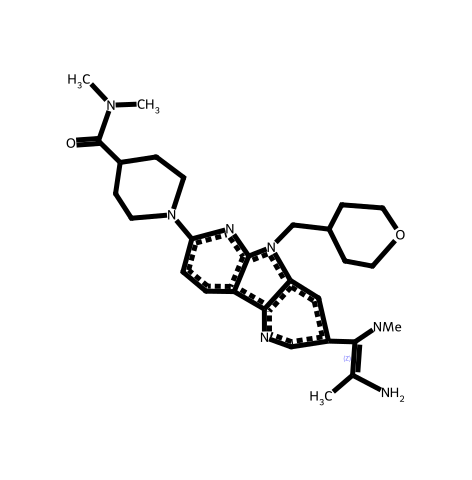 CN/C(=C(/C)N)c1cnc2c3ccc(N4CCC(C(=O)N(C)C)CC4)nc3n(CC3CCOCC3)c2c1